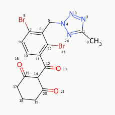 Cc1nnn(Cc2c(Br)ccc(C(=O)C3C(=O)CCCC3=O)c2Br)n1